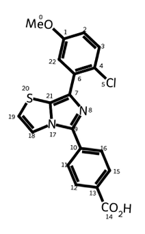 COc1ccc(Cl)c(-c2nc(-c3ccc(C(=O)O)cc3)n3ccsc23)c1